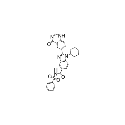 O=C(NS(=O)(=O)c1ccccc1)c1ccc2c(c1)nc(-c1ccc3[nH]cnc(=O)c3c1)n2C1CCCCC1